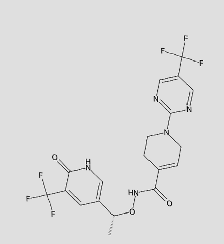 C[C@@H](ONC(=O)C1=CCN(c2ncc(C(F)(F)F)cn2)CC1)c1c[nH]c(=O)c(C(F)(F)F)c1